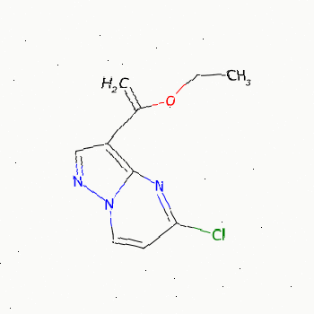 C=C(OCC)c1cnn2ccc(Cl)nc12